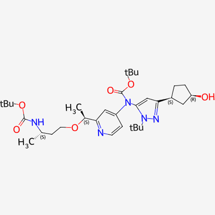 C[C@H](OCC[C@H](C)NC(=O)OC(C)(C)C)c1cc(N(C(=O)OC(C)(C)C)c2cc([C@H]3CC[C@@H](O)C3)nn2C(C)(C)C)ccn1